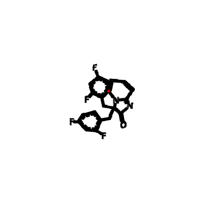 O=C1N=C2C=CC=CN2C1(Cc1ccc(F)cc1F)Cc1ccc(F)cc1F